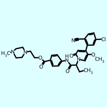 CCC(C(=O)Nc1ccc(C(=O)OCCN2CCN(C)CC2)cc1)n1cc(OC)c(-c2cc(Cl)ccc2C#N)cc1=O